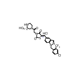 Cl.O=C(CN1C(=O)S/C(=C\c2ccc3c(cnn3Cc3ccc(Cl)cc3C(F)(F)F)c2)C1=O)N1CCN[C@@H](CO)C1